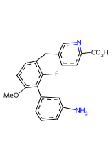 COc1ccc(Cc2ccc(C(=O)O)nc2)c(F)c1-c1cccc(N)c1